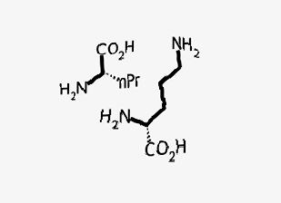 CCC[C@H](N)C(=O)O.NCCC[C@@H](N)C(=O)O